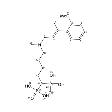 COc1ccccc1/C(C)=C/CN(C)CCCCC(P(=O)(O)O)P(=O)(O)O